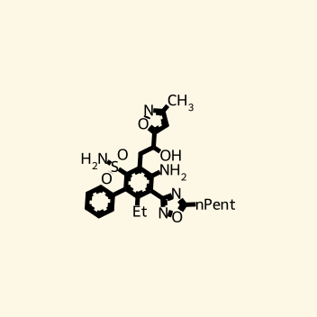 CCCCCc1nc(-c2c(N)c(CC(O)c3cc(C)no3)c(S(N)(=O)=O)c(-c3ccccc3)c2CC)no1